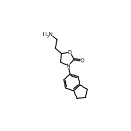 NCCC1CN(c2ccc3c(c2)CCC3)C(=O)O1